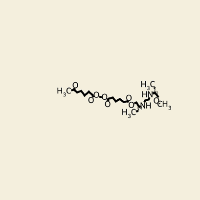 CC[C@H](COC)NCCN[C@H](CC)COC(=O)CCCCC(=O)OCOC(=O)CCCCC(C)=O